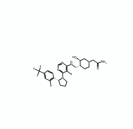 NC(=O)CN1CC[C@H](CNc2ncnc(N3CCC[C@@H]3c3ccc(C(F)(F)F)cc3F)c2F)[C@@H](O)C1